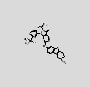 CC(C)n1c(=O)c2cnc(Nc3ccc4c5c([nH]c4c3)CCN(C)C5)nc2n1-c1ccnc(C(C)(C)C)c1